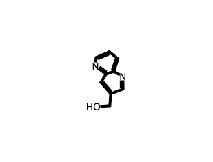 OCc1cnc2cccnc2c1